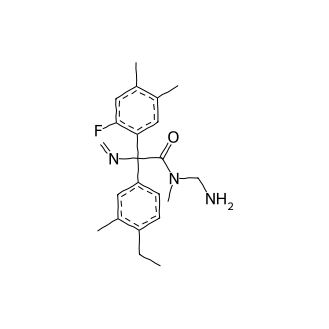 C=NC(C(=O)N(C)CN)(c1ccc(CC)c(C)c1)c1cc(C)c(C)cc1F